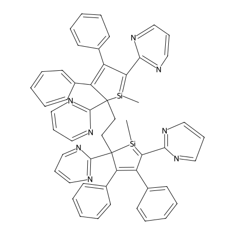 C[Si]1=C(c2ncccn2)C(c2ccccc2)=C(c2ccccc2)C1(CCC1(c2ncccn2)C(c2ccccc2)=C(c2ccccc2)C(c2ncccn2)=[Si]1C)c1ncccn1